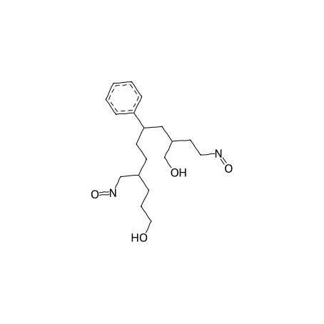 O=NCCC(CO)CC(CCC(CCCO)CN=O)c1ccccc1